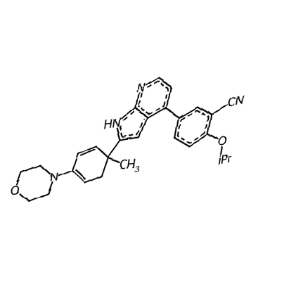 CC(C)Oc1ccc(-c2ccnc3[nH]c(C4(C)C=CC(N5CCOCC5)=CC4)cc23)cc1C#N